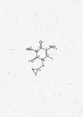 CCCCn1c(=O)c([N+](=O)[O-])c(C)n(CC2CC2)c1=O